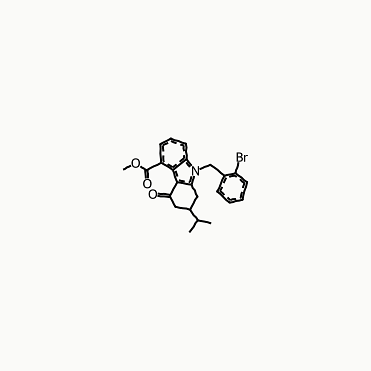 COC(=O)c1cccc2c1c1c(n2Cc2ccccc2Br)CC(C(C)C)CC1=O